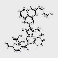 C=CC\C=C/C(=C(C)/C(C)=C/c1c(C2=CCCC=C2)c(/C=C\C)n(-c2nc3c4c(cccc4n2)C=C(/C=C\C=C/C)C3)c1C)C(C)(C)C(=C)C